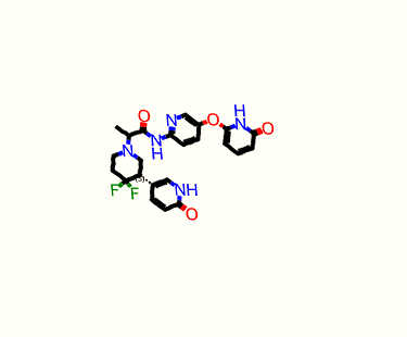 CC(C(=O)Nc1ccc(Oc2cccc(=O)[nH]2)cn1)N1CCC(F)(F)[C@@H](c2ccc(=O)[nH]c2)C1